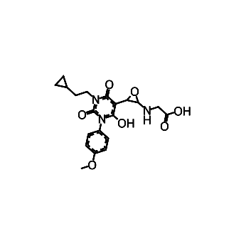 COc1ccc(-n2c(O)c(C3OC3NCC(=O)O)c(=O)n(CCC3CC3)c2=O)cc1